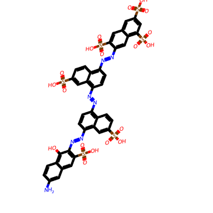 Nc1ccc2c(O)c(N=Nc3ccc(N=Nc4ccc(N=Nc5cc6c(S(=O)(=O)O)cc(S(=O)(=O)O)cc6cc5S(=O)(=O)O)c5ccc(S(=O)(=O)O)cc45)c4ccc(S(=O)(=O)O)cc34)c(S(=O)(=O)O)cc2c1